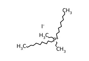 CCCCCCCCCC[P+](CCC)(CCC)CCCCCCCCCC.[I-]